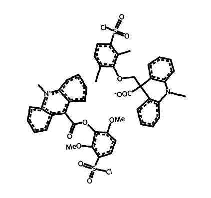 COc1ccc(S(=O)(=O)Cl)c(OC)c1OC(=O)c1c2ccccc2[n+](C)c2ccccc12.Cc1ccc(S(=O)(=O)Cl)c(C)c1OCC1(C(=O)[O-])c2ccccc2N(C)c2ccccc21